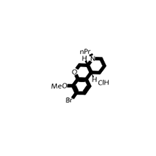 CCCN1CCC[C@H]2c3ccc(Br)c(OC)c3OC[C@@H]21.Cl